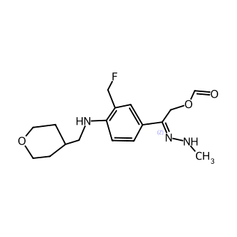 CN/N=C(\COC=O)c1ccc(NCC2CCOCC2)c(CF)c1